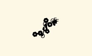 CN(C(=O)C(F)(F)F)[C@@H]1CCN(C(=O)N2CC[C@@H](Cn3ccc(-c4ccccc4)cc3=O)C3(CCCC3)C2)[C@H](c2ccccc2)C1